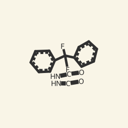 FC(F)(c1ccccc1)c1ccccc1.N=C=O.N=C=O